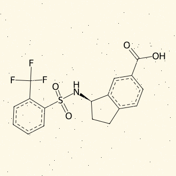 O=C(O)c1ccc2c(c1)[C@H](NS(=O)(=O)c1ccccc1C(F)(F)F)CC2